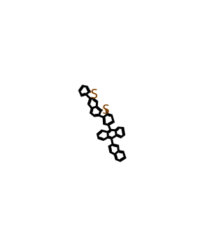 c1ccc2cc(-c3c4ccccc4c(-c4ccc5sc6c7cc8sc9ccccc9c8cc7ccc6c5c4)c4ccccc34)ccc2c1